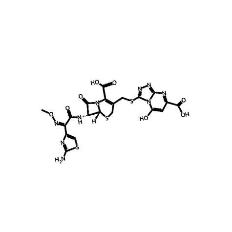 CO/N=C(\C(=O)N[C@@H]1C(=O)N2C(C(=O)O)=C(CSc3nnc4nc(C(=O)O)cc(O)n34)CS[C@H]12)c1csc(N)n1